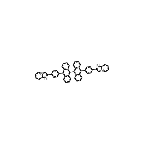 c1ccc2c(-c3c4ccccc4c(-c4ccc(-c5cn6ccccc6n5)cc4)c4ccccc34)c3ccccc3c(-c3ccc(-c4cn5ccccc5n4)cc3)c2c1